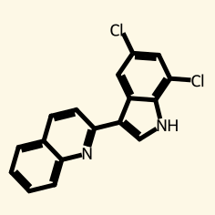 Clc1cc(Cl)c2[nH]cc(-c3ccc4ccccc4n3)c2c1